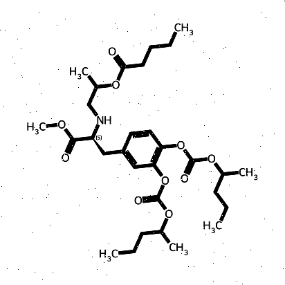 CCCCC(=O)OC(C)CN[C@@H](Cc1ccc(OC(=O)OC(C)CCC)c(OC(=O)OC(C)CCC)c1)C(=O)OC